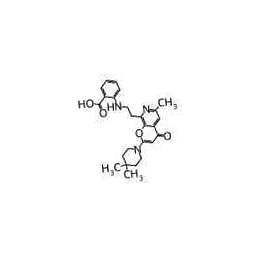 Cc1cc2c(=O)cc(N3CCC(C)(C)CC3)oc2c(CCNc2ccccc2C(=O)O)n1